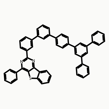 c1ccc(-c2cc(-c3ccccc3)cc(-c3ccc(-c4cccc(-c5cccc(-c6nc(-c7ccccc7)c7sc8ccccc8c7n6)c5)c4)cc3)c2)cc1